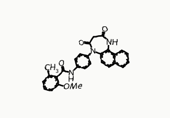 COc1cccc(C)c1C(=O)Nc1ccc(N2C(=O)CC(=O)Nc3c2ccc2ccccc32)cc1